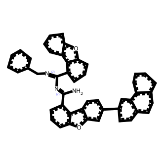 N/C(=N\C(=N/Cc1ccccc1)c1cccc2oc3ccccc3c12)c1cccc2oc3cc(-c4ccc5ccc6ccccc6c5c4)ccc3c12